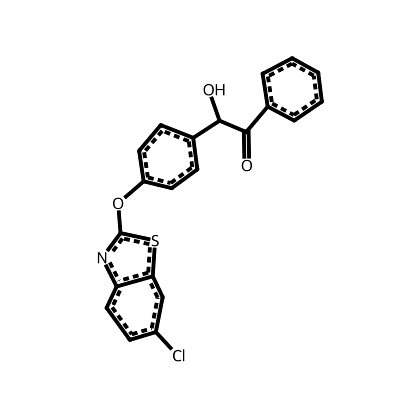 O=C(c1ccccc1)C(O)c1ccc(Oc2nc3ccc(Cl)cc3s2)cc1